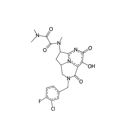 CN(C)C(=O)C(=O)N(C)C1CC2CN(Cc3ccc(F)c(Cl)c3)C(=O)c3c(O)c(=O)nc1n32